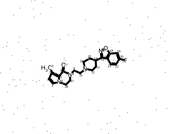 Cc1ccn2c1C(=O)N(CCN1CCC(c3noc4cc(F)ccc34)CC1)CC2